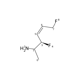 CC(N)[C@H](F)/C=C\CF